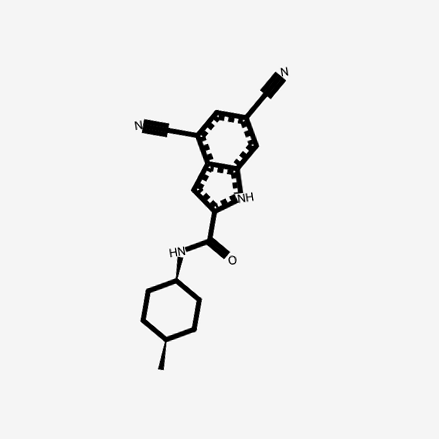 C[C@H]1CC[C@@H](NC(=O)c2cc3c(C#N)cc(C#N)cc3[nH]2)CC1